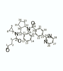 O=CCCC(=O)N(C1CC1)C1c2ccccc2N(C(=O)c2ccc(-c3ncccn3)cc2)C2CCCC21